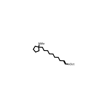 CCCCCCCCC=CCCCCCCCCC1(NC)CCCC1